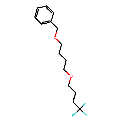 FC(F)(F)CCCOCCCCOCc1ccccc1